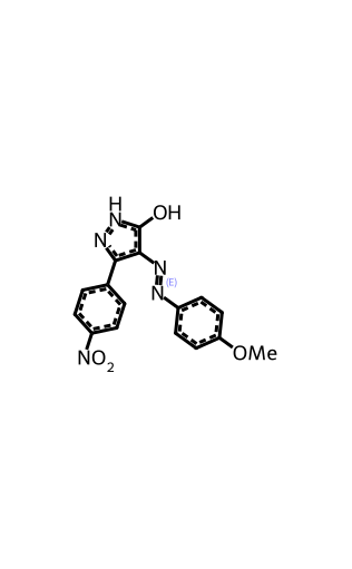 COc1ccc(/N=N/c2c(-c3ccc([N+](=O)[O-])cc3)n[nH]c2O)cc1